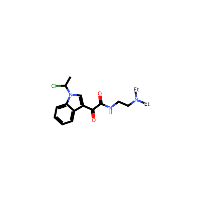 CCN(CC)CCNC(=O)C(=O)c1cn(C(C)Cl)c2ccccc12